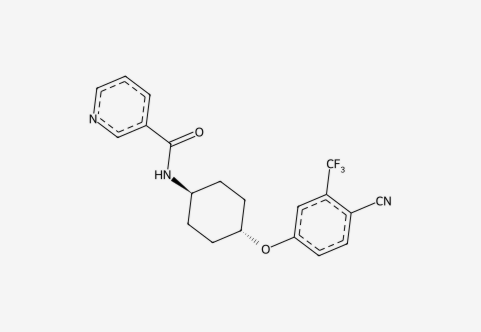 N#Cc1ccc(O[C@H]2CC[C@H](NC(=O)c3cccnc3)CC2)cc1C(F)(F)F